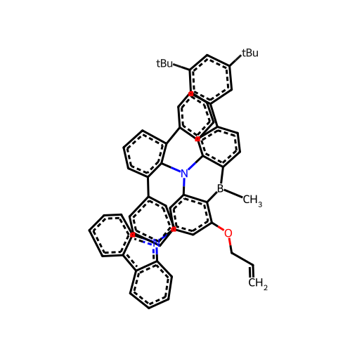 C=CCOc1cc(-n2c3ccccc3c3ccccc32)cc2c1B(C)c1ccc(-c3cc(C(C)(C)C)cc(C(C)(C)C)c3)cc1N2c1c(-c2ccccc2)cccc1-c1ccccc1